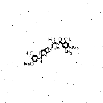 CCC[C@@H](C[C@@H](C)NC(=O)c1cc(C)c(NC)cc1C)N1Cc2cnc(Nc3cc(C)cc(OC)c3)nc2C1